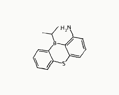 CC(C)B1c2ccccc2Sc2cccc(N)c21